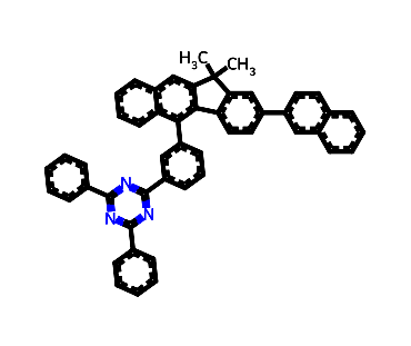 CC1(C)c2cc(-c3ccc4ccccc4c3)ccc2-c2c1cc1ccccc1c2-c1cccc(-c2nc(-c3ccccc3)nc(-c3ccccc3)n2)c1